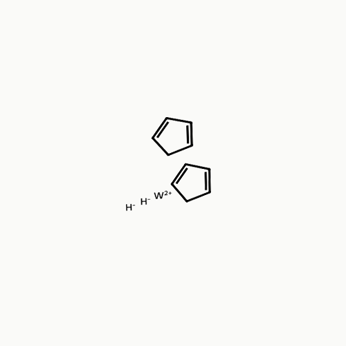 C1=CCC=C1.C1=CCC=C1.[H-].[H-].[W+2]